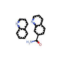 NC(=O)c1ccc2cccnc2c1.c1ccc2ncccc2c1